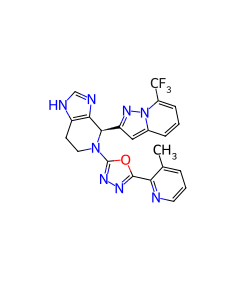 Cc1cccnc1-c1nnc(N2CCc3[nH]cnc3[C@H]2c2cc3cccc(C(F)(F)F)n3n2)o1